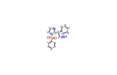 O=S(=O)(c1ccccc1)n1ccnc1-c1c[nH]c2ccccc12